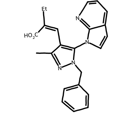 CCC(=Cc1c(C)nn(Cc2ccccc2)c1-n1ccc2cccnc21)C(=O)O